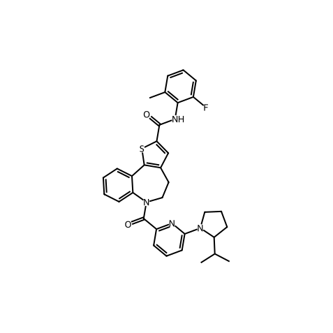 Cc1cccc(F)c1NC(=O)c1cc2c(s1)-c1ccccc1N(C(=O)c1cccc(N3CCCC3C(C)C)n1)CC2